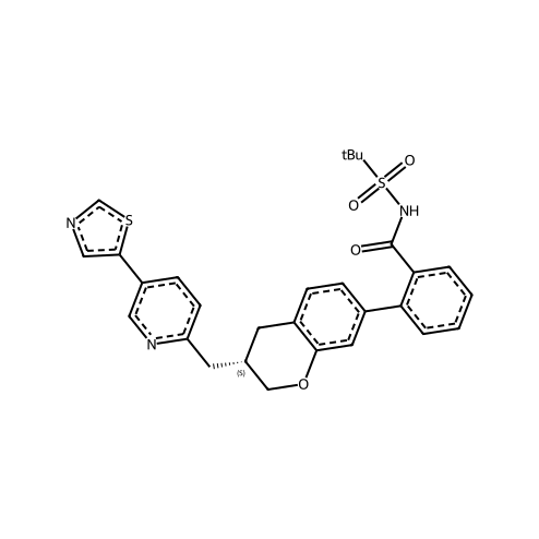 CC(C)(C)S(=O)(=O)NC(=O)c1ccccc1-c1ccc2c(c1)OC[C@H](Cc1ccc(-c3cncs3)cn1)C2